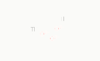 [O-2].[O-2].[O-2].[Tl+3].[Tl+3]